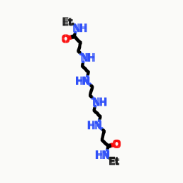 CCNC(=O)CCNCCNCCNCCNCCC(=O)NCC